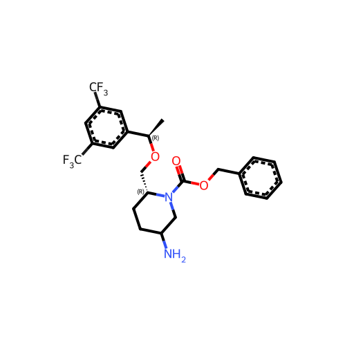 C[C@@H](OC[C@H]1CCC(N)CN1C(=O)OCc1ccccc1)c1cc(C(F)(F)F)cc(C(F)(F)F)c1